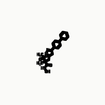 CC(CC1CC(c2ccc(-c3ccccc3)cc2)=NO1)(C(=O)NO)S(C)(=O)=O